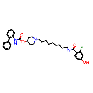 O=C(Nc1ccccc1-c1ccccc1)OC1CCN(CCCCCCCCCNC(=O)c2ccc(O)cc2F)CC1